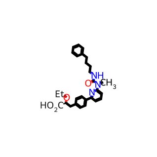 CCO[C@@H](Cc1ccc(-c2cccc(N(C)C(=O)NCCCCc3ccccc3)n2)cc1)C(=O)O